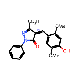 COc1cc(/C=C2\C(=O)N(c3ccccc3)N=C2C(=O)O)c(OC)cc1O